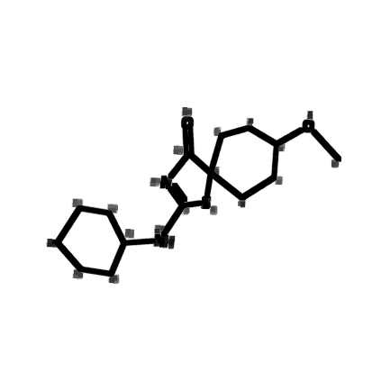 COC1CCC2(CC1)SC(NC1CCCCC1)=NC2=O